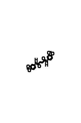 O=C(/C=C/C(=O)Nc1ccc2c(c1)OCO2)Nc1ccc2c(c1)OCO2